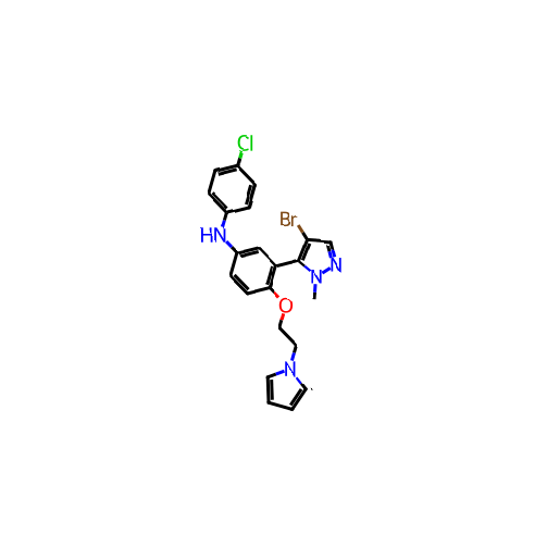 Cn1ncc(Br)c1-c1cc(Nc2ccc(Cl)cc2)ccc1OCCn1[c]ccc1